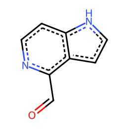 O=Cc1nccc2[nH]ccc12